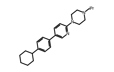 CC(C)N1CCN(c2ccc(-c3ccc(C4CCCCC4)cc3)cn2)CC1